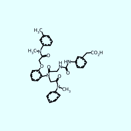 Cc1cccc(N(C)C(=O)COc2ccccc2N(CC(=O)N(C)c2ccccc2)C(=O)CNC(=O)Nc2cccc(CC(=O)O)c2)c1